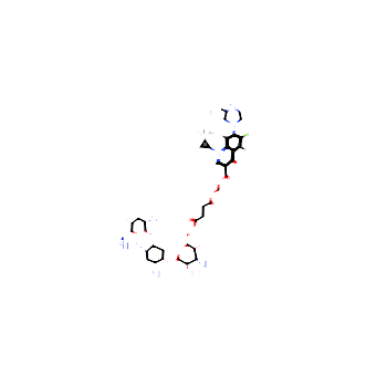 COc1c(N2CCNC(C)C2)c(F)c(C)c2c(=O)c(C(=O)OCOC(=O)CCC(=O)OC[C@H]3OC(O[C@@H]4[C@@H](O)[C@H](O[C@H]5O[C@H](CN)[C@@H](O)C[C@H]5N)[C@@H](N)C[C@H]4N)[C@H](O)[C@@H](N)[C@@H]3O)c(C)n(C3CC3)c12